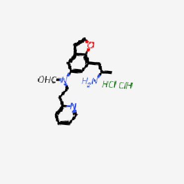 CC(N)Cc1cc(N(C=O)CCc2ccccn2)cc2ccoc12.Cl.Cl